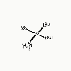 CC(C)(C)[Si](N)(C(C)(C)C)C(C)(C)C